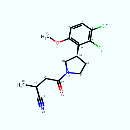 COc1ccc(Cl)c(Cl)c1[C@H]1CCN(C(=O)CC(C)C#N)C1